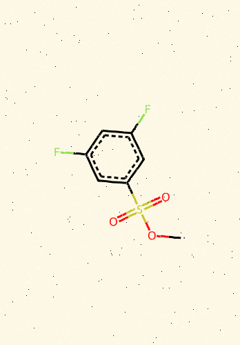 [CH2]OS(=O)(=O)c1cc(F)cc(F)c1